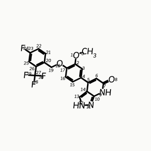 COc1cc(-c2cc(=O)[nH]c3n[nH]cc23)ccc1OCc1ccc(F)cc1C(F)(F)F